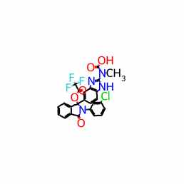 CN(C(=O)O)c1nc2cc(C3(OC(=O)C(F)(F)F)c4ccccc4C(=O)N3c3cccc(Cl)c3)ccc2[nH]1